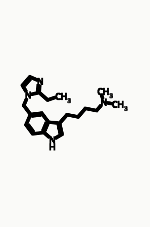 CCc1nccn1Cc1ccc2[nH]cc(CCCCN(C)C)c2c1